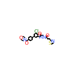 O=C(/C=C/c1nccs1)NCc1cc2cc(-c3ccc(C(=O)N4CCOCC4)cc3)cc(Cl)c2o1